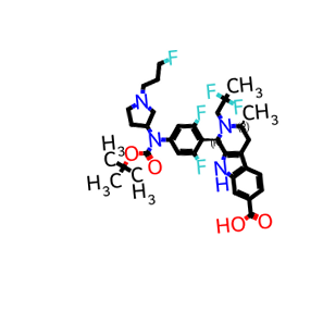 C[C@@H]1Cc2c([nH]c3cc(C(=O)O)ccc23)[C@@H](c2c(F)cc(N(C(=O)OC(C)(C)C)C3CCN(CCCF)C3)cc2F)N1CC(C)(F)F